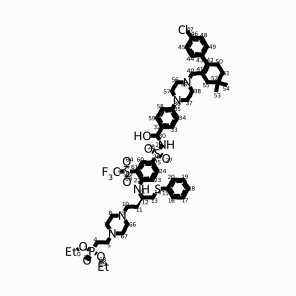 CCOP(=O)(CCN1CCN(CC[C@H](CSc2ccccc2)Nc2ccc(S(=O)(=O)NC(O)c3ccc(N4CCN(CC5=C(c6ccc(Cl)cc6)CCC(C)(C)C5)CC4)cc3)cc2S(=O)(=O)C(F)(F)F)CC1)OCC